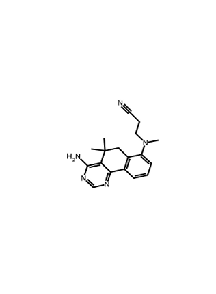 CN(CCC#N)c1cccc2c1CC(C)(C)c1c(N)ncnc1-2